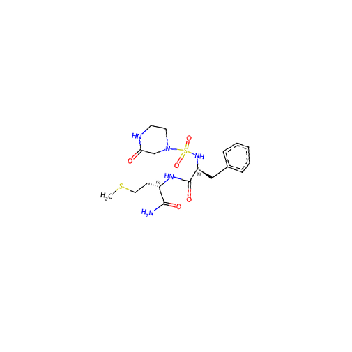 CSCC[C@H](NC(=O)[C@H](Cc1ccccc1)NS(=O)(=O)N1CCNC(=O)C1)C(N)=O